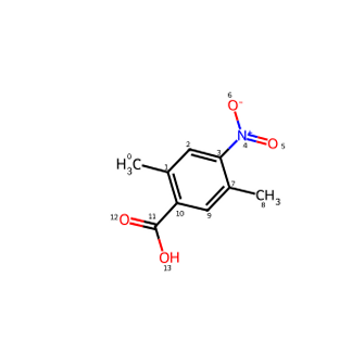 Cc1cc([N+](=O)[O-])c(C)cc1C(=O)O